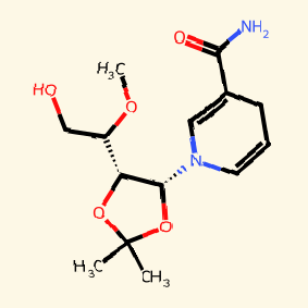 COC(CO)[C@H]1OC(C)(C)O[C@H]1N1C=CCC(C(N)=O)=C1